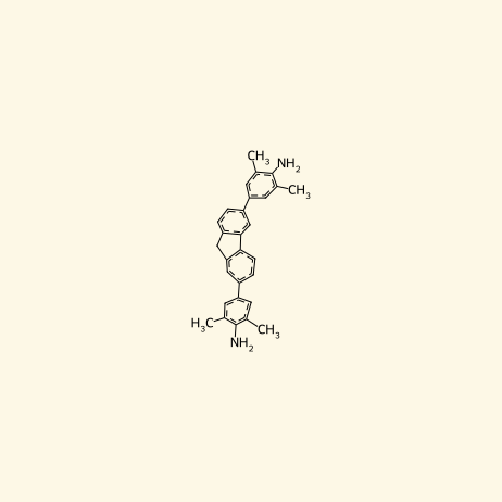 Cc1cc(-c2ccc3c(c2)Cc2ccc(-c4cc(C)c(N)c(C)c4)cc2-3)cc(C)c1N